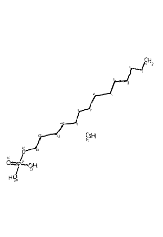 CCCCCCCCCCCCCCOP(=O)(O)O.[CsH]